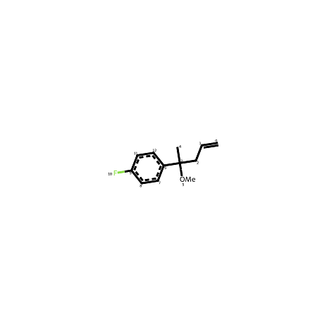 C=CCC(C)(OC)c1ccc(F)cc1